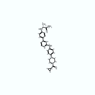 C[C@@H](Nc1ccc(-c2ccnc(Nc3ccc(N4CCN(C(=O)C5CC5)CC4)cc3)n2)cc1)C(N)=O